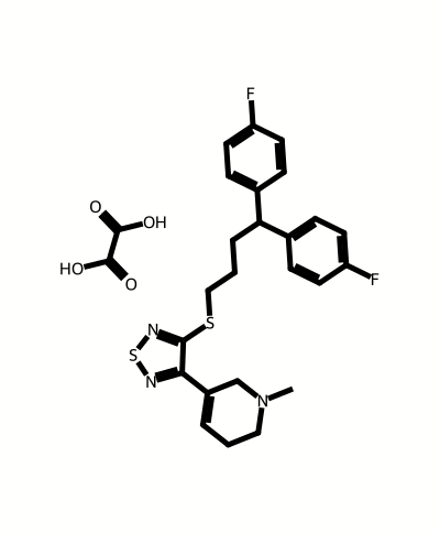 CN1CCC=C(c2nsnc2SCCCC(c2ccc(F)cc2)c2ccc(F)cc2)C1.O=C(O)C(=O)O